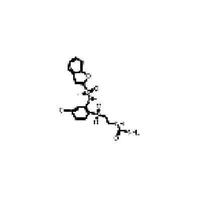 NC(=O)NCCS(=O)(=O)c1ccc(Cl)cc1NS(=O)(=O)c1cc2ccccc2o1